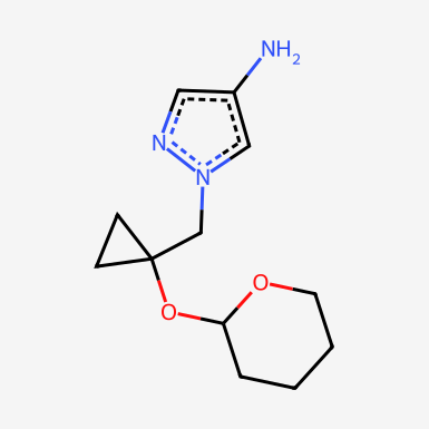 Nc1cnn(CC2(OC3CCCCO3)CC2)c1